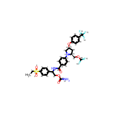 CCS(=O)(=O)c1ccc(C(COC(N)=O)NC(=O)c2ccc(N3C[C@@H](Oc4ccc(C(F)(F)F)cc4)C[C@H]3COC(F)F)cc2)cc1